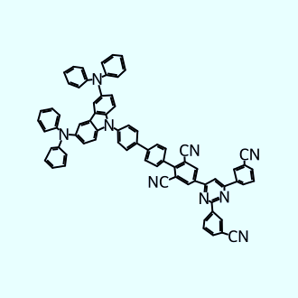 N#Cc1cccc(-c2cc(-c3cc(C#N)c(-c4ccc(-c5ccc(-n6c7ccc(N(c8ccccc8)c8ccccc8)cc7c7cc(N(c8ccccc8)c8ccccc8)ccc76)cc5)cc4)c(C#N)c3)nc(-c3cccc(C#N)c3)n2)c1